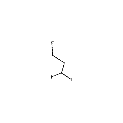 FCCC(I)I